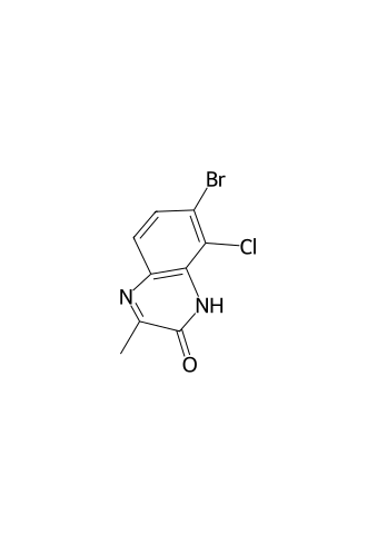 Cc1nc2ccc(Br)c(Cl)c2[nH]c1=O